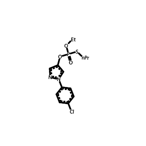 CCCSP(=O)(OCC)Oc1cnn(-c2ccc(Cl)cc2)c1